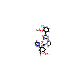 CCOc1c(F)cccc1-c1nc([C@@H]2CCCN2C(=O)c2cc(OC)c(C)cc2-n2nccn2)no1